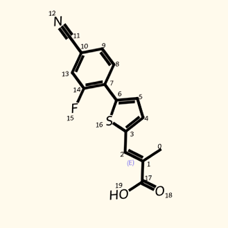 C/C(=C\c1ccc(-c2ccc(C#N)cc2F)s1)C(=O)O